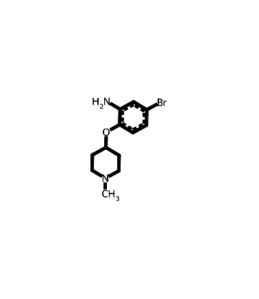 CN1CCC(Oc2ccc(Br)cc2N)CC1